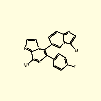 CCc1cnc2ccc(-c3c(-c4ccc(F)cc4)nc(N)c4nccn34)cn12